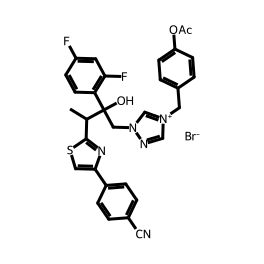 CC(=O)Oc1ccc(C[n+]2cnn(CC(O)(c3ccc(F)cc3F)C(C)c3nc(-c4ccc(C#N)cc4)cs3)c2)cc1.[Br-]